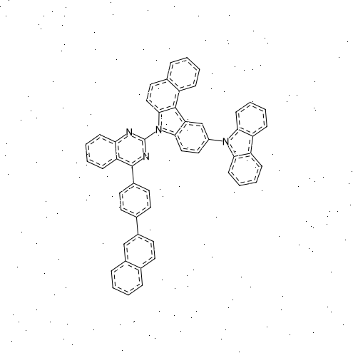 c1ccc2cc(-c3ccc(-c4nc(-n5c6ccc(-n7c8ccccc8c8ccccc87)cc6c6c7ccccc7ccc65)nc5ccccc45)cc3)ccc2c1